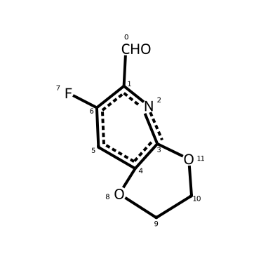 O=Cc1nc2c(cc1F)OCCO2